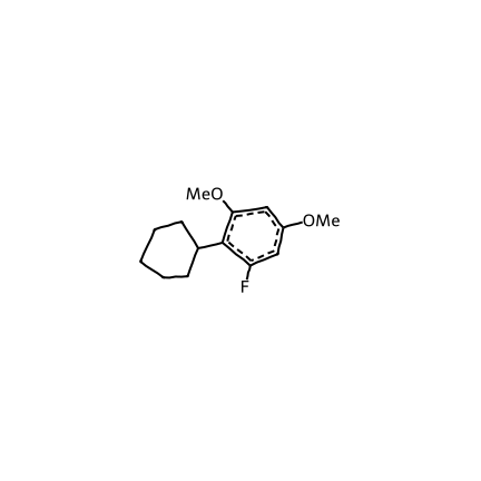 COc1cc(F)c(C2CCCCC2)c(OC)c1